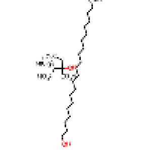 CCCCCCCCCCCCCCCCCCCCCCCCCCCCCCO.O=C(O)CC(O)(CC(=O)O)C(=O)O.[KH].[KH]